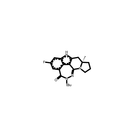 CC(C)(C)N1N=C2c3c([nH]c4cc(F)cc(c34)C1=O)C[C@@]1(C)CCCN21